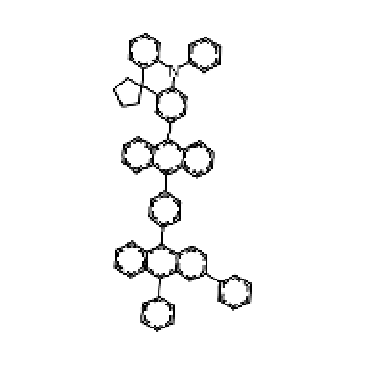 c1ccc(-c2ccc3c(-c4ccc(-c5c6ccccc6c(-c6ccc7c(c6)C6(CCCC6)c6ccccc6N7c6ccccc6)c6ccccc56)cc4)c4ccccc4c(-c4ccccc4)c3c2)cc1